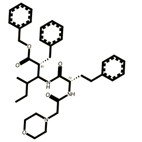 CCC(C)C(NC(=O)[C@H](CCc1ccccc1)NC(=O)CN1CCOCC1)[C@@H](Cc1ccccc1)C(=O)OCc1ccccc1